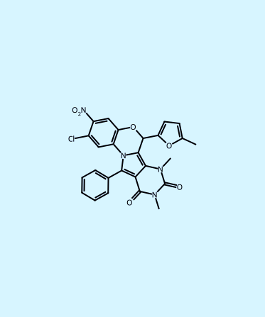 Cc1ccc(C2Oc3cc([N+](=O)[O-])c(Cl)cc3-n3c(-c4ccccc4)c4c(=O)n(C)c(=O)n(C)c4c32)o1